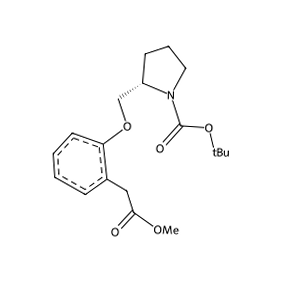 COC(=O)Cc1ccccc1OC[C@@H]1CCCN1C(=O)OC(C)(C)C